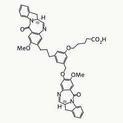 COc1cc2c(cc1CCCc1cc(COc3cc4c(cc3OC)C(=O)N3c5ccccc5C[C@H]3C=N4)cc(OCCCCC(=O)O)c1)N=C[C@@H]1Cc3ccccc3N1C2=O